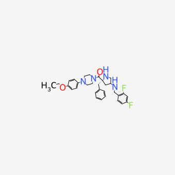 CCOc1ccc(N2CCN(C(=O)[C@]3(Cc4ccccc4)C[C@H](NCc4ccc(F)cc4F)CN3)CC2)cc1